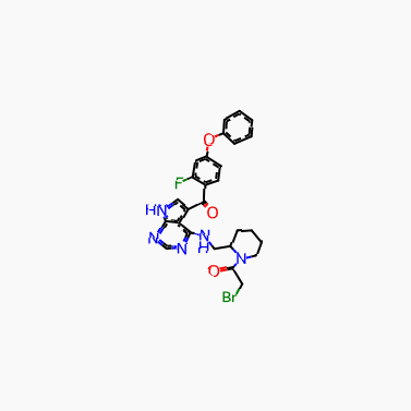 O=C(c1ccc(Oc2ccccc2)cc1F)c1c[nH]c2ncnc(NCC3CCCCN3C(=O)CBr)c12